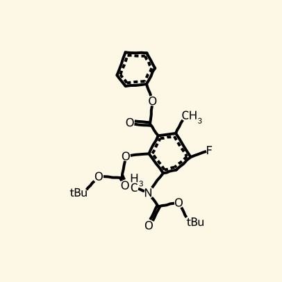 Cc1c(F)cc(N(C)C(=O)OC(C)(C)C)c(OC(=O)OC(C)(C)C)c1C(=O)Oc1ccccc1